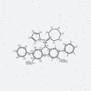 CC(C)(C)c1cc2c(cc1-c1ccccc1)[CH]([Zr](=[C]1CCCCCC1)[CH]1C=CC=C1)c1cc(-c3ccccc3)c(C(C)(C)C)cc1-2